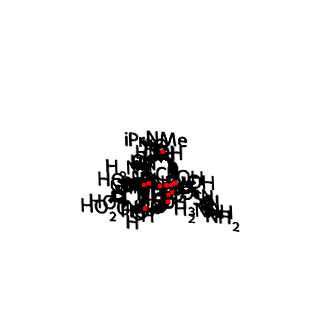 CN[C@@H](CC(C)C)C(=O)N[C@H]1C(=O)N[C@@H](CC(N)=O)C(=O)N[C@H]2C(=O)N[C@H]3C(=O)N[C@H](C(=O)N[C@@H](C(=O)O)c4cc(O)cc(O)c4-c4cc3ccc4O)[C@H](O)c3ccc(c(Cl)c3)Oc3cc2cc(c3OC2OC(CSc3nnc(NN)n3N)C(O)C(O)C2OC2CC(C)(N)C(O)C(C)O2)Oc2ccc(cc2Cl)[C@H]1O